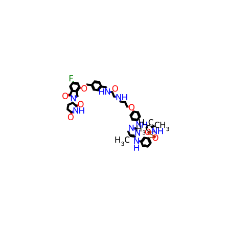 Cc1cnc(Nc2ccc(OCCCNCC(=O)NCc3ccc(COc4cc(F)cc5c4CN([C@H]4CCC(=O)NC4=O)C5=O)cc3)cc2)nc1Nc1cccc(S(=O)(=O)NC(C)(C)C)c1